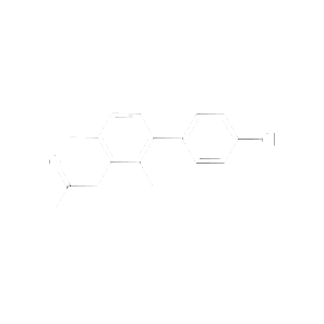 CC(=O)Cc1c(C)ccc(-c2ccc(Cl)cc2)c1C